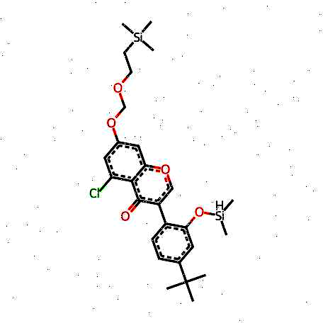 C[SiH](C)Oc1cc(C(C)(C)C)ccc1-c1coc2cc(OCOCC[Si](C)(C)C)cc(Cl)c2c1=O